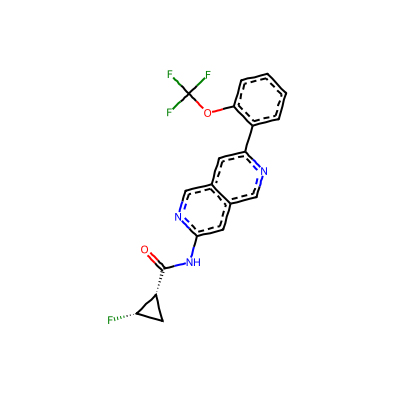 O=C(Nc1cc2cnc(-c3ccccc3OC(F)(F)F)cc2cn1)[C@@H]1C[C@@H]1F